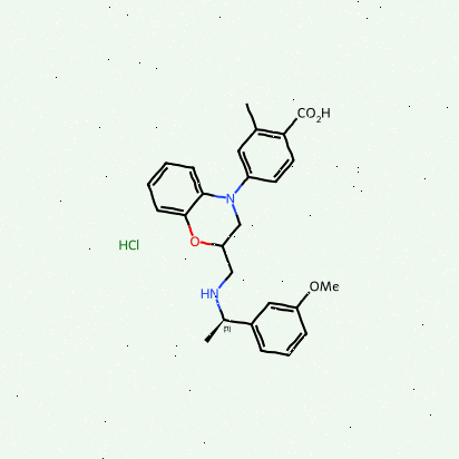 COc1cccc([C@@H](C)NCC2CN(c3ccc(C(=O)O)c(C)c3)c3ccccc3O2)c1.Cl